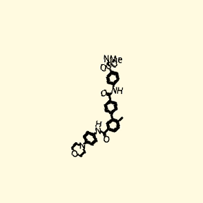 CNS(=O)(=O)c1ccc(NC(=O)c2ccc(-c3cc(C(=O)Nc4ccc(N5CCOCC5)cc4)ccc3C)cc2)cc1